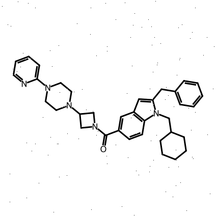 O=C(c1ccc2c(c1)cc(Cc1ccccc1)n2CC1CCCCC1)N1CC(N2CCN(c3ccccn3)CC2)C1